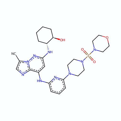 N#Cc1cnc2c(Nc3cccc(N4CCN(S(=O)(=O)N5CCOCC5)CC4)n3)cc(N[C@@H]3CCCC[C@H]3O)nn12